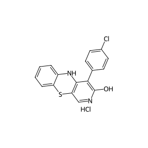 Cl.Oc1ncc2c(c1-c1ccc(Cl)cc1)Nc1ccccc1S2